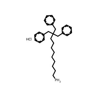 Cl.PCCCCCCCCCC(Cc1ccccc1)(Cc1ccccc1)Cc1ccccc1